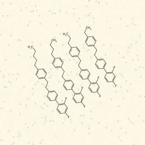 CCCCCc1ccc(CCc2ccc(-c3ccc(F)cc3F)cc2)cc1.CCCCc1ccc(CCc2ccc(-c3ccc(F)cc3F)cc2)cc1.CCCc1ccc(CCc2ccc(-c3ccc(F)cc3F)cc2)cc1.CCc1ccc(CCc2ccc(-c3ccc(F)cc3F)cc2)cc1